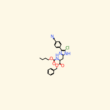 CCCCOC(=O)NC(Cc1nc(-c2ccc(C#N)cc2)c(Cl)[nH]1)C(=O)OCc1ccccc1